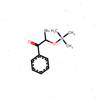 CC(C)(C)C(O[Si](C)(C)C)C(=O)c1ccccc1